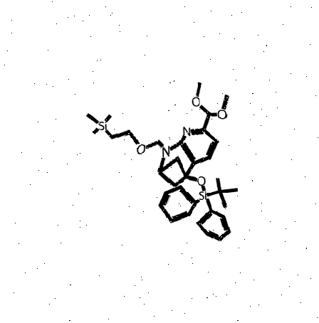 COC(OC)c1ccc2c(n1)N(COCC[Si](C)(C)C)C1CC2(O[Si](c2ccccc2)(c2ccccc2)C(C)(C)C)C1